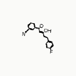 N#Cc1cccc(C(=O)/C=C(\O)CCc2ccc(F)cc2)c1